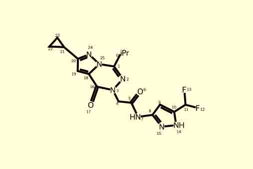 CC(C)c1nn(CC(=O)Nc2cc(C(F)F)[nH]n2)c(=O)c2cc(C3CC3)nn12